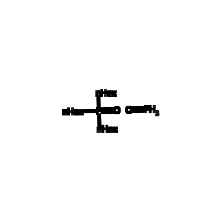 CCCCCCP(=O)(CCCCCC)CCCCCC.O=[PH3]